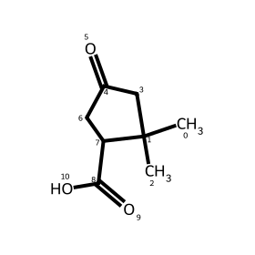 CC1(C)CC(=O)CC1C(=O)O